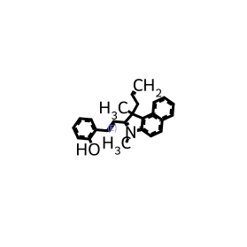 C=CCC1(C)C(/C=C/c2ccccc2O)=[N+](C)c2ccc3ccccc3c21